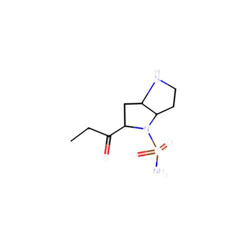 CCC(=O)C1CC2NCCC2N1S(N)(=O)=O